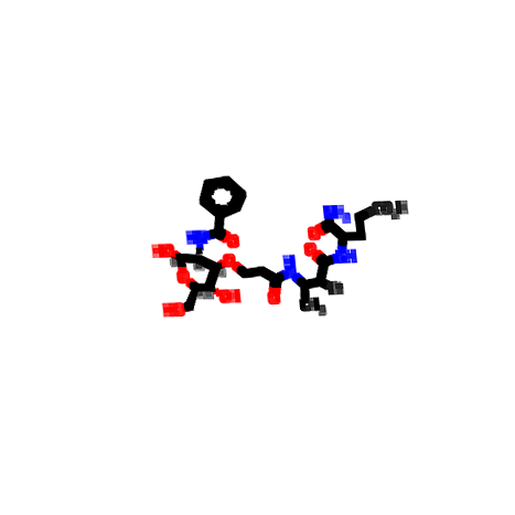 CCC(C(=O)NC(CCC(=O)O)C(N)=O)C(C)NC(=O)CCO[C@H]1[C@H](O)[C@@H](CO)O[C@@H](O)[C@@H]1NC(=O)c1ccccc1